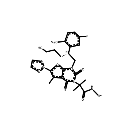 COc1ccc(F)cc1[C@@H](CCCO)Cn1c(=O)n(C(C)(C)C(=O)NC(C)C)c(=O)c2c(C)c(-n3nccn3)sc21